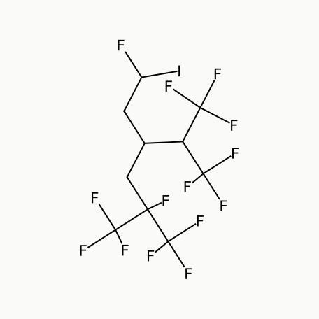 FC(I)CC(CC(F)(C(F)(F)F)C(F)(F)F)C(C(F)(F)F)C(F)(F)F